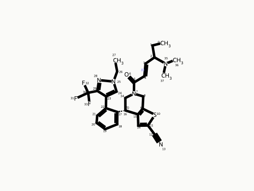 CCC(/C=C/C(=O)N1Cc2sc(C#N)cc2[C@H](c2ccccc2-c2cn(CC)nc2C(F)(F)F)C1)N(C)C